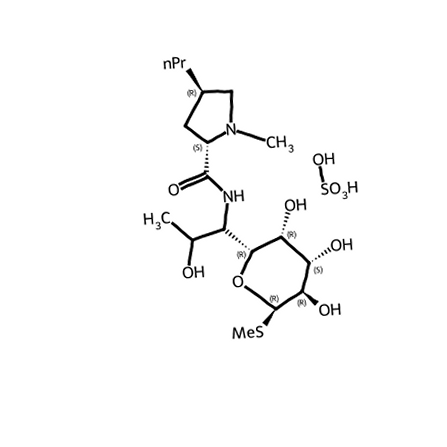 CCC[C@@H]1C[C@@H](C(=O)NC(C(C)O)[C@H]2O[C@H](SC)[C@H](O)[C@@H](O)[C@H]2O)N(C)C1.O=S(=O)(O)O